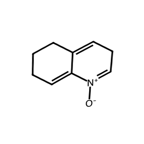 [O-][N+]1=CCC=C2CCCC=C21